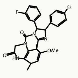 COC1=CC(C)C2=C3N(CC(=O)N2)C(=O)N2C(=NC(c4ccc(Cl)cc4)C2c2cccc(F)c2)C13C